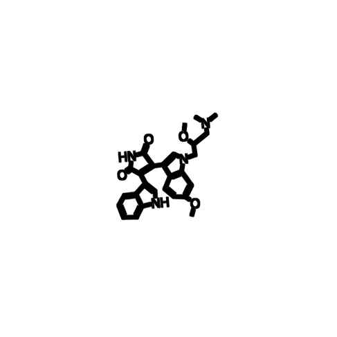 COc1ccc2c(C3=C(c4c[nH]c5ccccc45)C(=O)NC3=O)cn(CC(CN(C)C)OC)c2c1